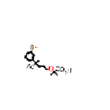 CC(=O)C(C)(CCCOC(C)(C)C(=O)O)c1cccc(Br)c1